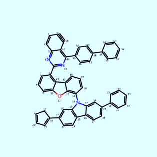 c1ccc2nc(-c3cccc4oc5c(-n6c7cc(C8=CC=CC8)ccc7c7ccc(-c8ccccc8)cc76)cccc5c34)nc(-c3ccc(-c4ccccc4)cc3)c2c#1